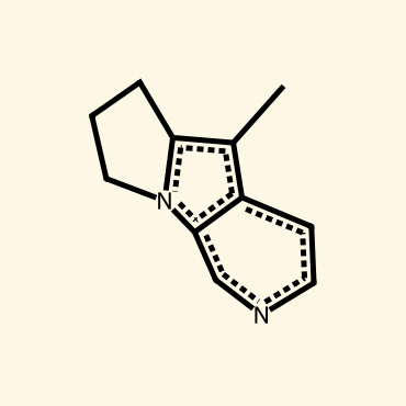 Cc1c2n(c3cnccc13)CCC2